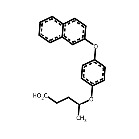 CC(CCC(=O)O)Oc1ccc(Oc2ccc3ccccc3c2)cc1